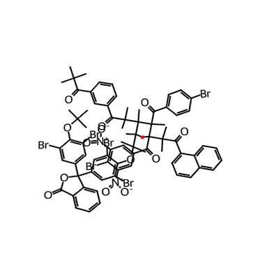 CC(C)(C)Oc1c(Br)cc(C2(c3cc(Br)c(OC(C)(C)C(C)(C)C(C)(C(C)(C)C(=O)c4cccc(C(=O)C(C)(C)C)c4)C(C)(C(=O)c4ccc(Br)cc4)C(C)(C(=O)c4cc([N+](=O)[O-])c(Br)c([N+](=O)[O-])c4)C(C)(C)C(=O)c4cccc5ccccc45)c(Br)c3)OC(=O)c3ccccc32)cc1Br